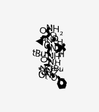 CN(C[C@@H](NC(=O)N[C@H](C(=O)N1C[C@H]2[C@@H]([C@H]1C(=O)NC(CC1CC1)C(=O)C(N)=O)C2(C)C)C(C)(C)C)C(C)(C)C)S(=O)(=O)N(C)C(=O)OCc1ccccc1